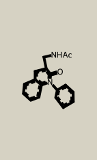 CC(=O)NCc1cc2ccccc2n(-c2ccccc2)c1=O